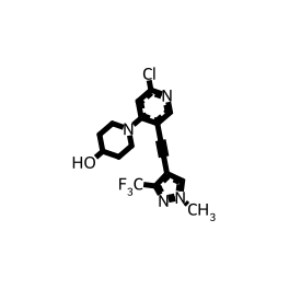 Cn1cc(C#Cc2cnc(Cl)cc2N2CCC(O)CC2)c(C(F)(F)F)n1